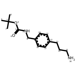 CC(C)(C)OC(=O)NCc1ccc(CCCN)cc1